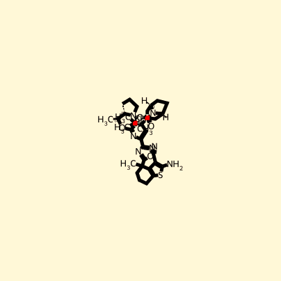 C[C@H](Oc1nc(-c2noc(C3(C)CCCc4sc(N)c(C#N)c43)n2)cc(N2C[C@H]3CC[C@@H](C2)N3C(=O)OC(C)(C)C)n1)[C@@H]1CCCN1C